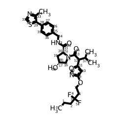 CCCC(F)(F)CCOc1cc(C(C(=O)N2C[C@H](O)C[C@H]2C(=O)NCc2ccc(-c3scnc3C)cc2)C(C)C)on1